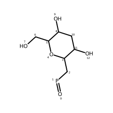 O=PCC1OC(CO)C(O)CC1O